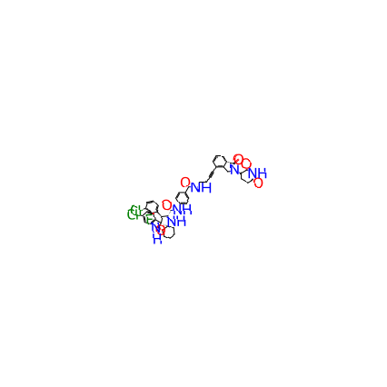 O=C1CCC(N2Cc3c(C#CCCNC(=O)c4ccc(NC(=O)[C@@H]5NC6(CCCCC6)[C@@]6(C(=O)Nc7cc(Cl)ccc76)[C@H]5c5cccc(Cl)c5F)cc4)cccc3C2=O)C(=O)N1